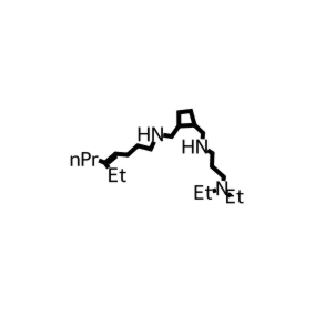 CCC/C(=C/CCCNCC1CCC1CNCCCN(CC)CC)CC